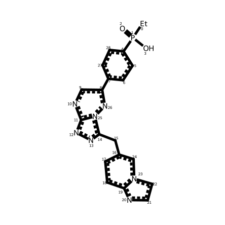 CCP(=O)(O)c1ccc(-c2cnc3nnc(Cc4ccc5nccn5c4)n3n2)cc1